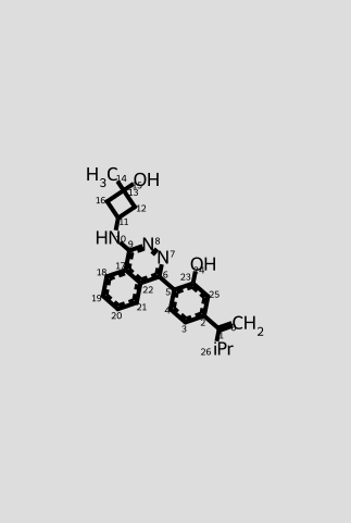 C=C(c1ccc(-c2nnc(NC3CC(C)(O)C3)c3ccccc23)c(O)c1)C(C)C